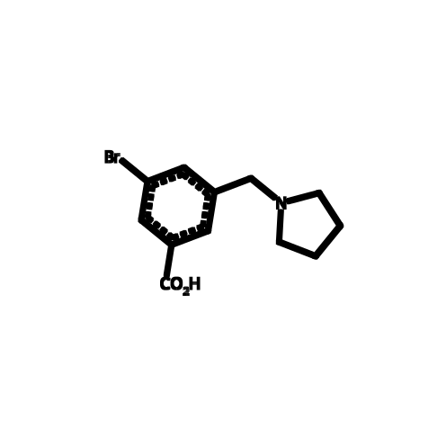 O=C(O)c1cc(Br)cc(CN2CCCC2)c1